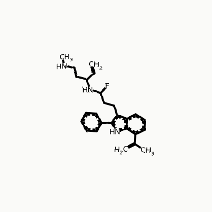 C=CC(CCNC)NC(F)CCc1c(-c2ccccc2)[nH]c2c(C(=C)C)cccc12